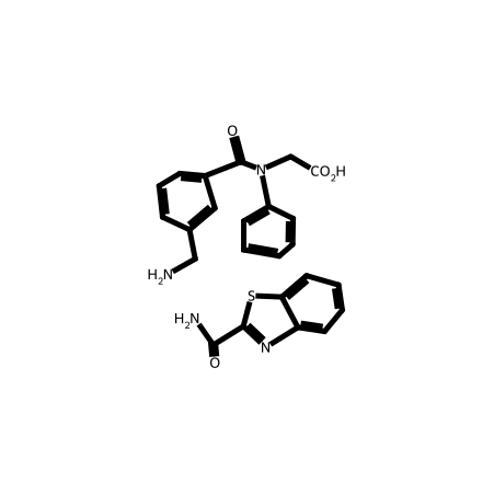 NC(=O)c1nc2ccccc2s1.NCc1cccc(C(=O)N(CC(=O)O)c2ccccc2)c1